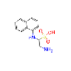 NCC(Nc1cccc2ccccc12)S(=O)(=O)O